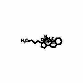 CCCCCC1CCC2C3CCC4CCCCC4(C)[C@H]3C[C@@H]3OC123